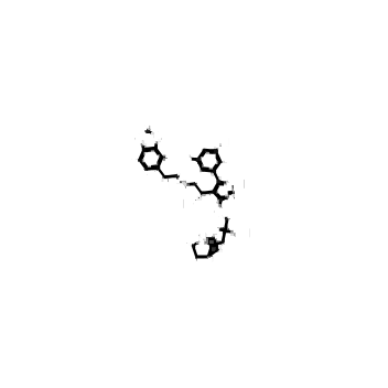 Cc1cc(C)cc(-c2[nH]nc(OCC(C)(C)CC3C4CCN3CC4)c2[C@H](C)CNCCc2ccc3c(c2)OCO3)c1